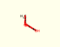 CCCCCCCCCCCCCC(=O)OC(=O)CCCCCCCCCCCCCCCCCO